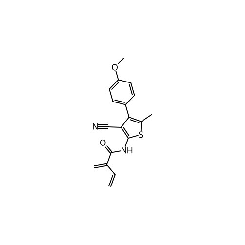 C=CC(=C)C(=O)Nc1sc(C)c(-c2ccc(OC)cc2)c1C#N